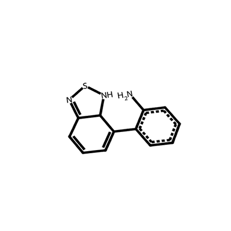 Nc1ccccc1C1=CC=CC2=NSNC12